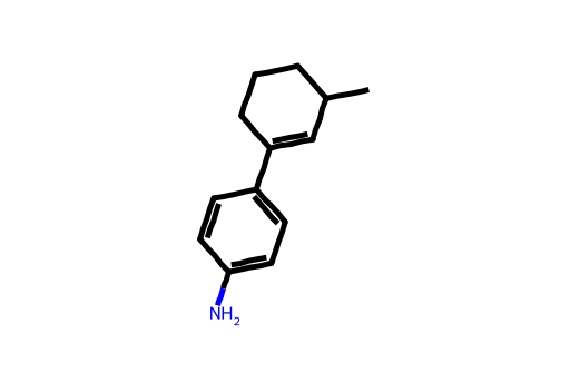 CC1C=C(c2ccc(N)cc2)CCC1